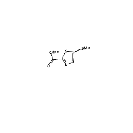 COC(=O)c1ncc(SC)s1